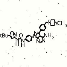 CN1CCN(Cc2ccc(-c3nn(-c4ccc(NC(=O)Nc5cc(C(C)(C)C)on5)cc4)c4ncnc(N)c34)cc2)CC1